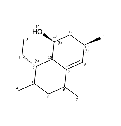 CC[C@H]1C(C)CC(C)C2=C[C@H](C)C[C@H](O)C21